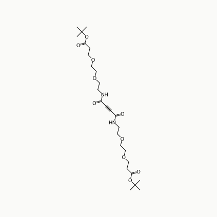 CC(C)(C)OC(=O)CCOCCOCCNC(=O)C#CC(=O)NCCOCCOCCC(=O)OC(C)(C)C